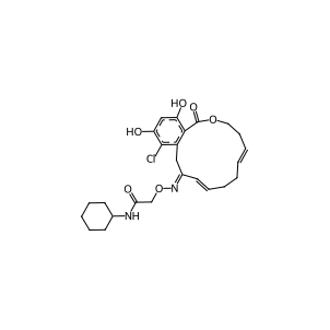 O=C(CON=C1/C=C/CC/C=C/CCOC(=O)c2c(O)cc(O)c(Cl)c2C1)NC1CCCCC1